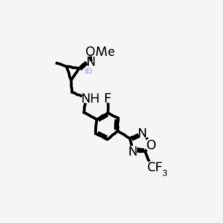 CO/N=C1\C(C)C1CNCc1ccc(-c2noc(C(F)(F)F)n2)cc1F